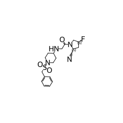 N#C[C@@H]1C[C@H](F)CN1C(=O)CNC1CCN(S(=O)(=O)Cc2ccccc2)CC1